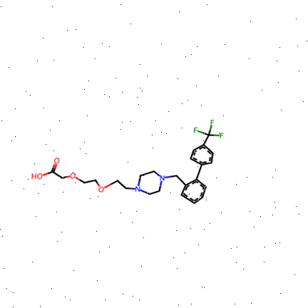 O=C(O)COCCOCCN1CCN(Cc2ccccc2-c2ccc(C(F)(F)F)cc2)CC1